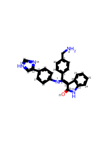 NCc1ccc(/C(Nc2ccc(-c3c[nH]cn3)cc2)=C2/C(=O)Nc3ccccc32)cc1